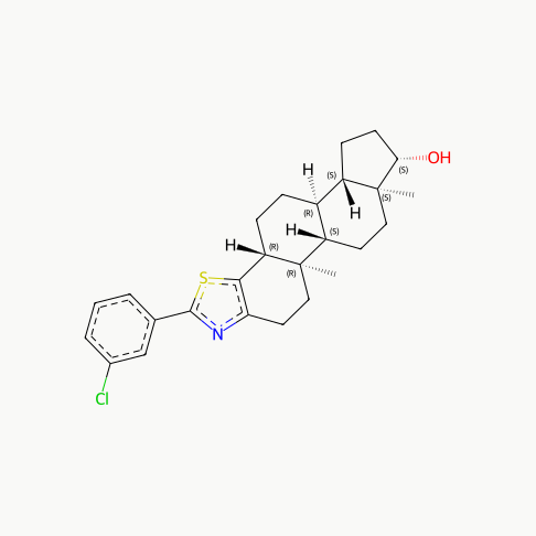 C[C@]12CCc3nc(-c4cccc(Cl)c4)sc3[C@@H]1CC[C@@H]1[C@@H]2CC[C@]2(C)[C@@H](O)CC[C@@H]12